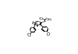 O=C(O)Cc1cnn(-c2ccc(Cl)cc2)c1-c1ccc(Cl)cc1